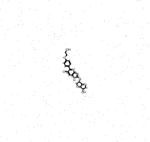 OCCOc1ccc(-c2nc3nc(O[C@@H]4COC5C4OC[C@H]5O)[nH]c3cc2Cl)cc1